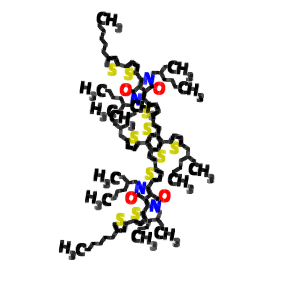 CCCCCCc1csc(-c2ccc(C3=C4C(=O)N(CC(CC)CCCC)C(c5ccc(-c6cc7c(-c8ccc(CC(CC)CCCC)s8)c8sc(-c9ccc(C%10=C%11C(=O)N(CC(CC)CCCC)C(c%12ccc(-c%13cc(CCCCCC)cs%13)s%12)=C%11C(=O)N%10CC(CC)CCCC)s9)cc8c(-c8ccc(CC(CC)CCCC)s8)c7s6)s5)=C4C(=O)N3CC(CC)CCCC)s2)c1